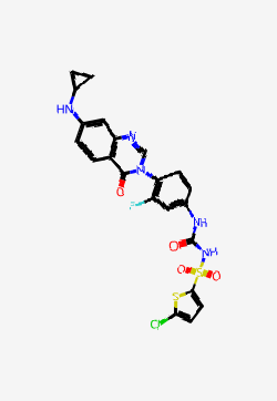 O=C(Nc1ccc(-n2cnc3cc(NC4CC4)ccc3c2=O)c(F)c1)NS(=O)(=O)c1ccc(Cl)s1